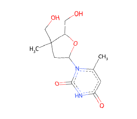 Cc1cc(=O)[nH]c(=O)n1C1CC(C)(CO)C(CO)O1